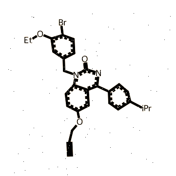 C#CCOc1ccc2c(c1)c(-c1ccc(C(C)C)cc1)nc(=O)n2Cc1ccc(Br)c(OCC)c1